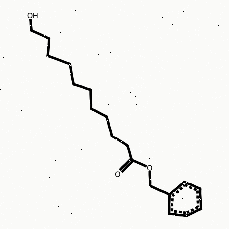 O=C(CCCCCCCCCCO)OCc1ccccc1